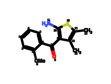 COc1ccccc1C(=O)c1c(N)sc(C)c1C